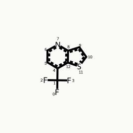 FC(F)(F)c1ccnc2ccsc12